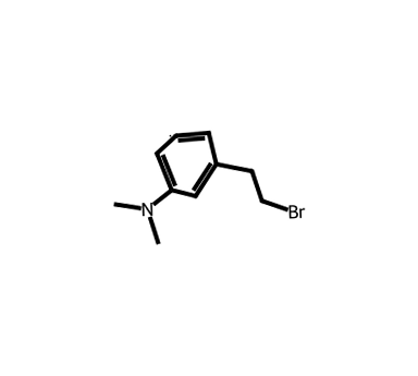 CN(C)c1c[c]cc(CCBr)c1